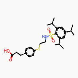 CC(C)c1cc(C(C)C)c(S(=O)(=O)NCCSc2ccc(CCC(=O)O)cc2)c(C(C)C)c1